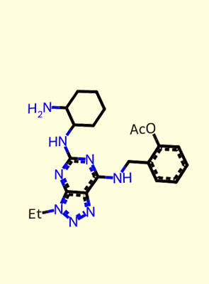 CCn1nnc2c(NCc3ccccc3OC(C)=O)nc(NC3CCCCC3N)nc21